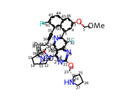 COCOc1cc(-c2ncc3c(N4CC5CC[C@@H](C4)N5C(=O)O)nc(OC[C@@H]4CCCN4)nc3c2F)c2c(C#C[Si](C(C)C)(C(C)C)C(C)C)c(F)ccc2c1